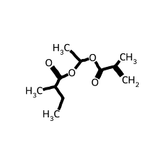 C=C(C)C(=O)OC(C)OC(=O)C(C)CC